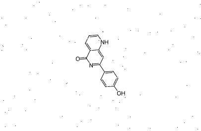 O=c1nc(-c2ccc(O)cc2)cc2[nH]cccc1-2